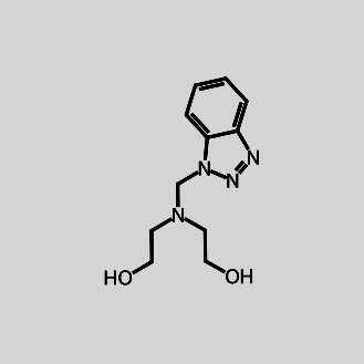 OCCN(CCO)Cn1nnc2ccccc21